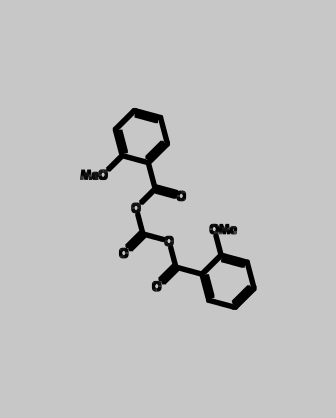 COc1ccccc1C(=O)OC(=O)OC(=O)c1ccccc1OC